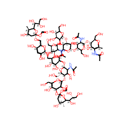 CC(=O)NC1C(O)[C@H](O[C@@H]2OC(CO)[C@H](O)[C@H](O[C@]3(OC=O)C[C@@H](O)[C@@H](C)C([C@H](O)[C@H](O)CO)O3)C2O)[C@H](CO)O[C@H]1OC1[C@@H](OCC2O[C@@H](O[C@@H]3C(CO)O[C@@H](O[C@@H]4C(CO)O[C@@H](C)C(NC(C)=O)[C@H]4O)C(NC(C)=O)[C@H]3O)C(O)[C@@H](O[C@H]3OC(CO)[C@@H](O)C(O)C3O[C@@H]3OC(CO)[C@@H](O[C@@H]4OC(CO[C@]5(OC=O)C[C@@H](O)[C@@H](C)C([C@H](O)[C@H](O)CO)O5)[C@H](O)CC4O)[C@H](O)C3NC(C)=O)[C@@H]2O)OC(CO)[C@@H](O)[C@@H]1O